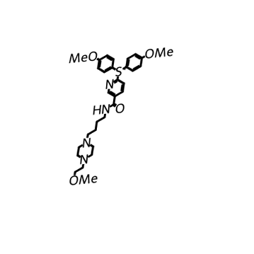 COCCN1CCN(CCCCNC(=O)c2ccc([S+](c3ccc(OC)cc3)c3ccc(OC)cc3)nc2)CC1